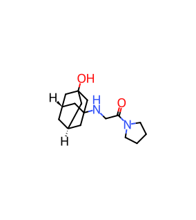 O=C(CNC12C[C@@H]3C[C@@H](CC(O)(C3)C1)C2)N1CCCC1